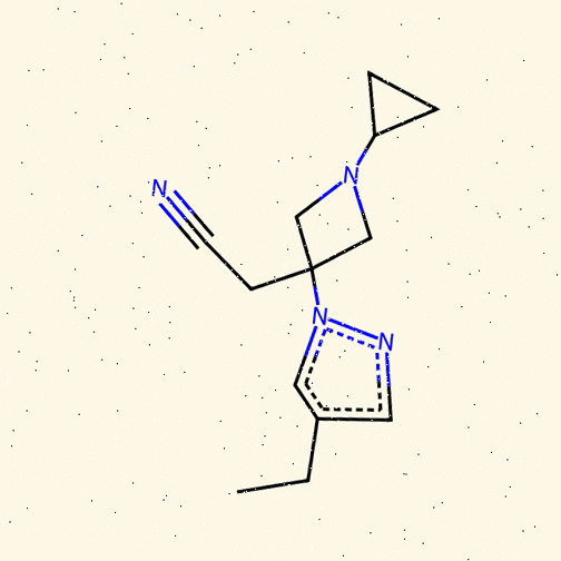 CCc1cnn(C2(CC#N)CN(C3CC3)C2)c1